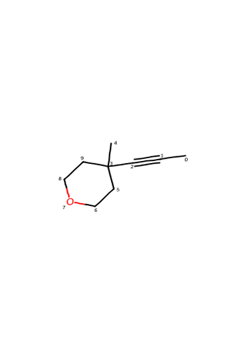 CC#CC1(C)CCOCC1